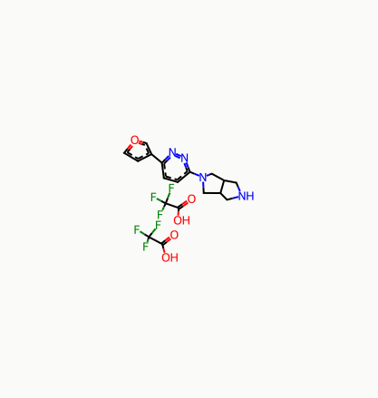 O=C(O)C(F)(F)F.O=C(O)C(F)(F)F.c1cc(-c2ccc(N3CC4CNCC4C3)nn2)co1